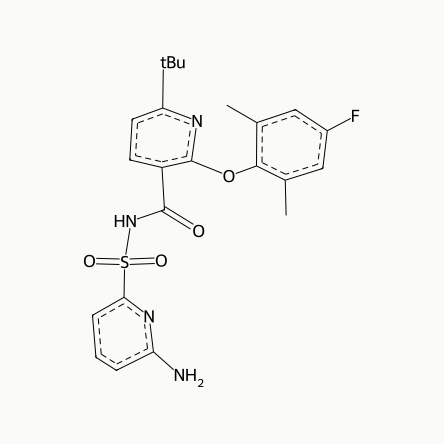 Cc1cc(F)cc(C)c1Oc1nc(C(C)(C)C)ccc1C(=O)NS(=O)(=O)c1cccc(N)n1